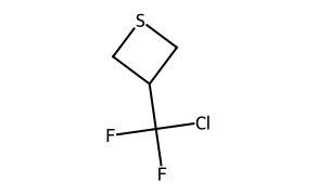 FC(F)(Cl)C1CSC1